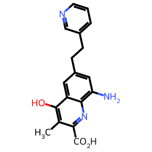 Cc1c(C(=O)O)nc2c(N)cc(CCc3cccnc3)cc2c1O